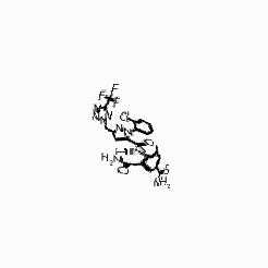 Cc1cc(C(N)=S)cc(C(N)=O)c1NC(=O)c1cc(Cn2nnc(C(F)(F)F)n2)nn1-c1ccccc1Cl